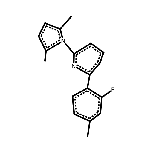 Cc1ccc(-c2cccc(-n3c(C)ccc3C)n2)c(F)c1